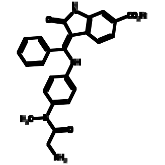 CCOC(=O)c1ccc2c(c1)NC(=O)/C2=C(/Nc1ccc(N(C)C(=O)CN)cc1)c1ccccc1